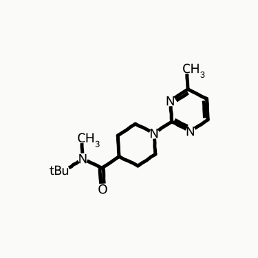 Cc1ccnc(N2CCC(C(=O)N(C)C(C)(C)C)CC2)n1